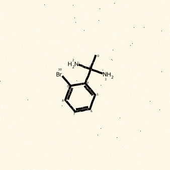 CC(N)(N)c1ccccc1Br